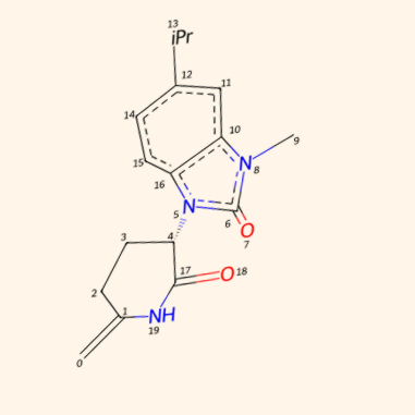 C=C1CC[C@H](n2c(=O)n(C)c3cc(C(C)C)ccc32)C(=O)N1